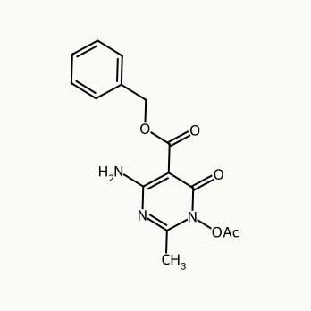 CC(=O)On1c(C)nc(N)c(C(=O)OCc2ccccc2)c1=O